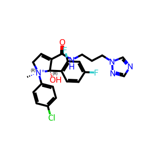 C[N@+]1(c2ccc(Cl)cc2)CC=C(C(=O)NCCCn2cncn2)[C@@]1(O)c1ccc(F)cc1F